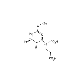 CC(C)[C@@H](NC(=O)OC(C)(C)C)C(=O)N[C@@H](CCC(=O)O)C(=O)O